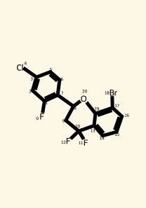 Fc1cc(Cl)ccc1C1CC(F)(F)c2cccc(Br)c2O1